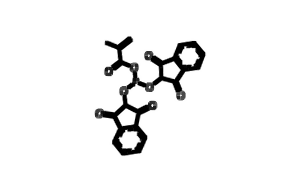 C=C(C)C(=O)OP(OC1C(=O)c2ccccc2C1=O)OC1C(=O)c2ccccc2C1=O